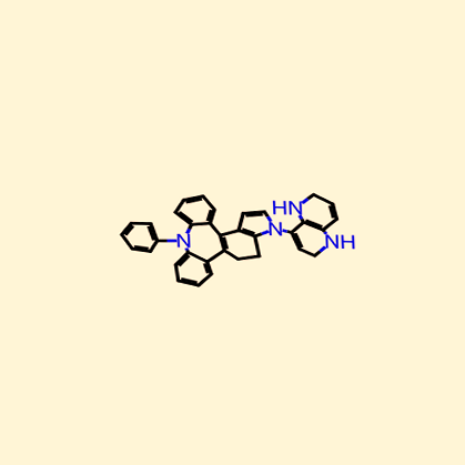 C1=CC2=C(NC1)C(n1ccc3c1CCC1=C3c3ccccc3N(c3ccccc3)c3ccccc31)=CCN2